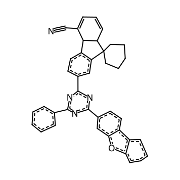 N#CC1=CC=CC2C1c1ccc(-c3nc(-c4ccccc4)nc(-c4ccc5c(c4)oc4ccccc45)n3)cc1C21CCCCC1